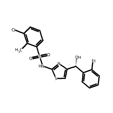 CCc1ccccc1[C@@H](O)c1csc(NS(=O)(=O)c2cccc(Cl)c2C)n1